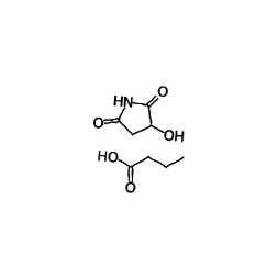 CCCC(=O)O.O=C1CC(O)C(=O)N1